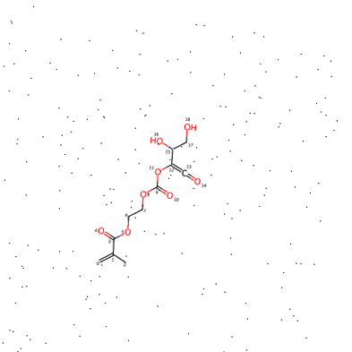 C=C(C)C(=O)OCCOC(=O)OC(=C=O)C(O)CO